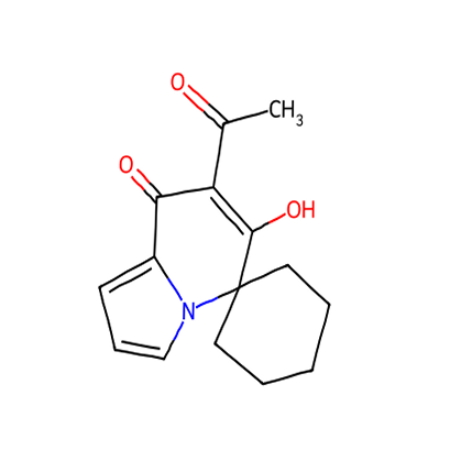 CC(=O)C1=C(O)C2(CCCCC2)n2cccc2C1=O